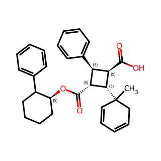 CC1([C@H]2[C@H](C(=O)O)[C@H](c3ccccc3)[C@H]2C(=O)O[C@H]2CCCCC2c2ccccc2)C=CC=CC1